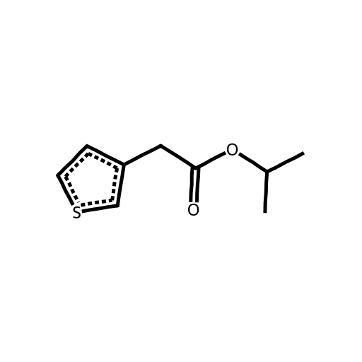 CC(C)OC(=O)Cc1ccsc1